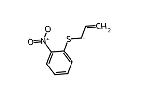 C=C[CH]Sc1ccccc1[N+](=O)[O-]